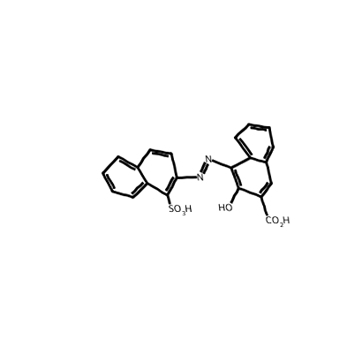 O=C(O)c1cc2ccccc2c(N=Nc2ccc3ccccc3c2S(=O)(=O)O)c1O